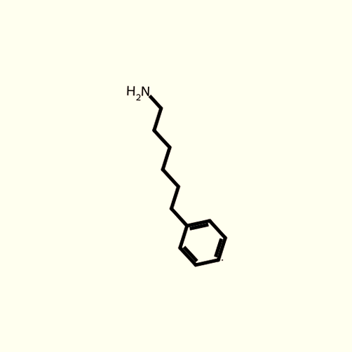 NCCCCCCc1cc[c]cc1